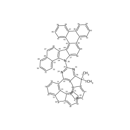 CC1(C)c2ccccc2-c2c(-c3cccc4sc5ccccc5c34)nc(-n3c4ccc5c6ccccc6c6ccccc6c5c4c4ccc5ccccc5c43)nc21